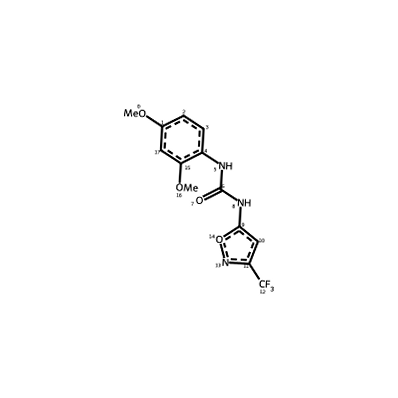 COc1ccc(NC(=O)Nc2cc(C(F)(F)F)no2)c(OC)c1